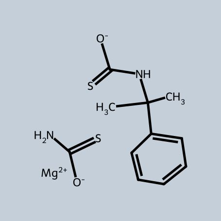 CC(C)(NC([O-])=S)c1ccccc1.NC([O-])=S.[Mg+2]